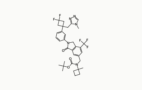 Cn1cnnc1CC1(c2cccc(N3Cc4c(cc(CN(C(=O)OC(C)(C)C)C5(C)CCC5)cc4C(F)(F)F)C3=O)c2)CC(F)(F)C1